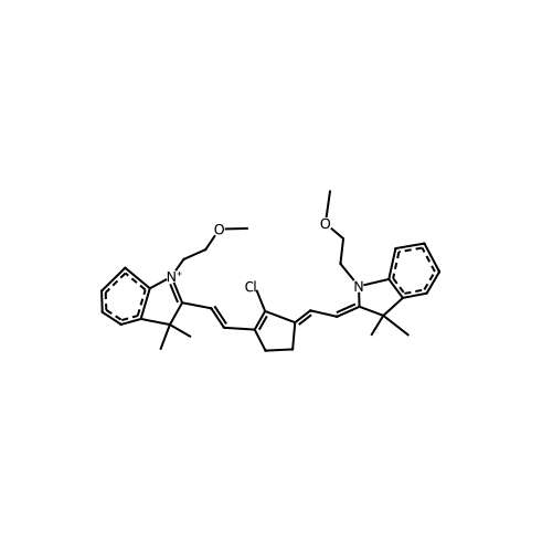 COCCN1C(=CC=C2CCC(C=CC3=[N+](CCOC)c4ccccc4C3(C)C)=C2Cl)C(C)(C)c2ccccc21